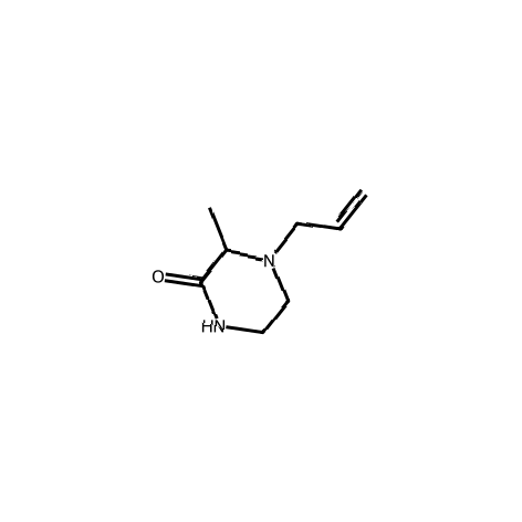 C=CCN1CCNC(=O)C1C